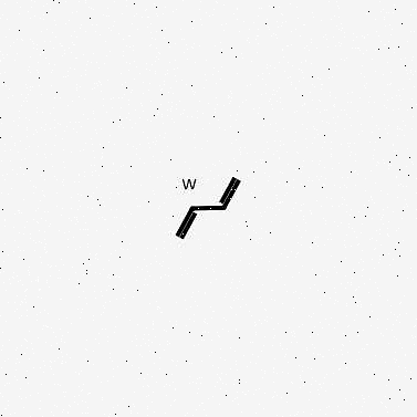 C=CC=C.[W]